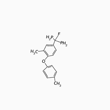 Cc1ccc(Oc2ccc(C(F)(P)P)cc2C)cc1